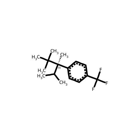 CC(C)[C@](C)(c1ccc(C(F)(F)F)cc1)C(C)(C)C